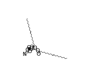 CCCCCCCCC=CCCCCCCCC(=O)OC[C@H](COP(=O)([O-])OCC[N+](C)(C)C)OC(=O)CCCCCCCC=CCCCCCCCC